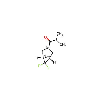 CC(C)C(=O)[C@@H]1C[C@@H]2[C@H](C1)C2(F)F